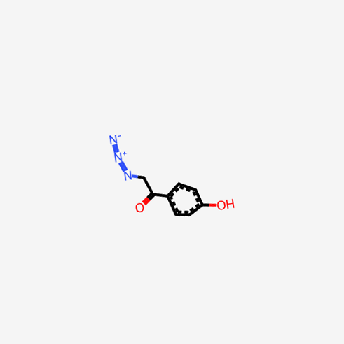 [N-]=[N+]=NCC(=O)c1ccc(O)cc1